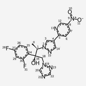 C[C@@H](n1cc(-c2ccc([N+](=O)[O-])cn2)cn1)[C@](O)(Cn1cncn1)c1ccc(F)cc1F